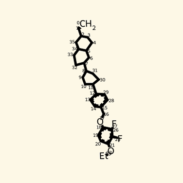 C=CC1CCC2CC(C3CCC(c4ccc(COc5ccc(OCC)c(F)c5F)cc4)CC3)CCC2C1